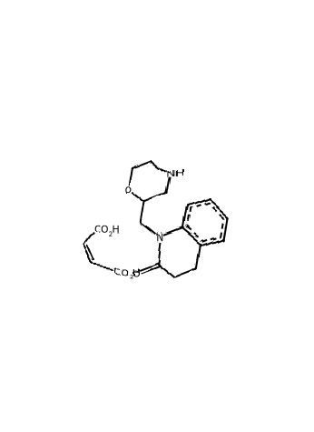 O=C(O)/C=C\C(=O)O.O=C1CCc2ccccc2N1CC1CNCCO1